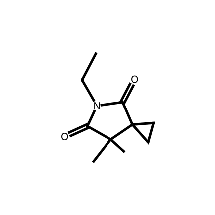 CCN1C(=O)C(C)(C)C2(CC2)C1=O